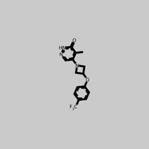 Cc1c(N2CC(Oc3ccc(C(F)(F)F)cc3)C2)cn[nH]c1=O